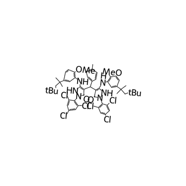 COc1ccc(C(C)(C)CC(C)(C)C)cc1Nc1[nH]n(-c2c(Cl)cc(Cl)cc2Cl)c(=O)c1C(c1ccc(C)cc1)c1c(Nc2cc(C(C)(C)CC(C)(C)C)ccc2OC)[nH]n(-c2c(Cl)cc(Cl)cc2Cl)c1=O